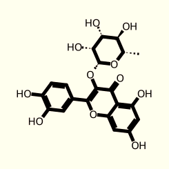 C[C@@H]1O[C@H](Oc2c(-c3ccc(O)c(O)c3)oc3cc(O)cc(O)c3c2=O)[C@H](O)[C@H](O)[C@H]1O